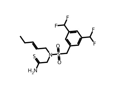 CCC=CCN(CC(N)=S)S(=O)(=O)Cc1cc(C(F)F)cc(C(F)F)c1